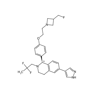 CC(F)(F)CN1CCc2cc(-c3cn[nH]c3)ccc2[C@@H]1c1ccc(OCCN2CC(CF)C2)cc1